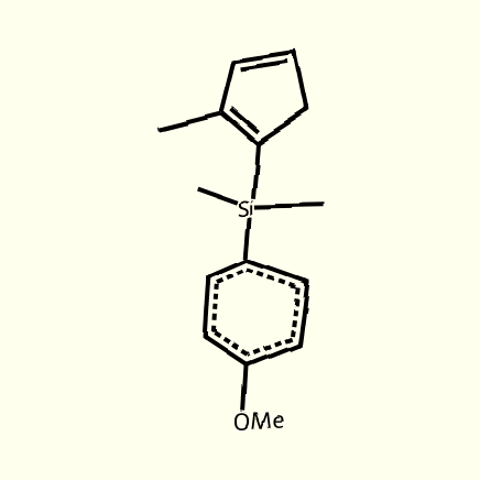 COc1ccc([Si](C)(C)C2=C(C)C=CC2)cc1